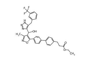 CCOC(=O)CCc1ccc(-c2ccc(-c3onc(C)c3C(O)c3nn[nH]c3Cc3cccc(C(F)(F)F)c3)cc2)cc1